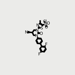 Cc1nc(N2CC(C#N)CN(c3ccc(-c4cc(F)ccc4F)cc3)C2=O)sc1S(=O)(=O)Cl